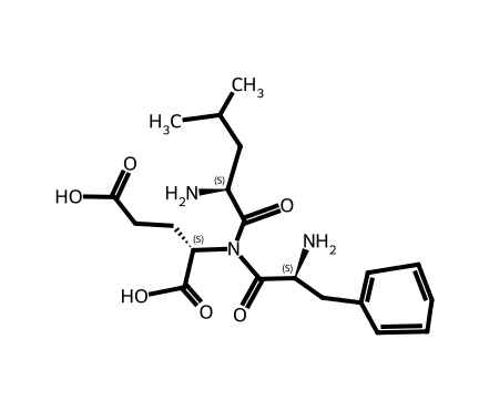 CC(C)C[C@H](N)C(=O)N(C(=O)[C@@H](N)Cc1ccccc1)[C@@H](CCC(=O)O)C(=O)O